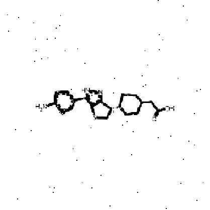 Nc1ccc(-c2[nH]nc3c2SC[C@H]3C2CCC(CC(=O)O)CC2)cc1